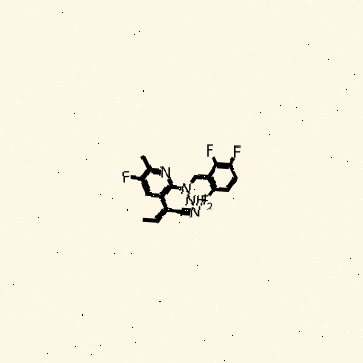 C/C=C(/C#N)c1cc(F)c(C)nc1N(N)Cc1c(F)ccc(F)c1F